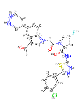 CC(=O)c1cn(CC(=O)N2C[C@H](F)C[C@H]2C(=O)Nc2nnc(-c3ccc(C)c(Cl)c3)s2)c2ccc(-c3ccnnc3)cc12